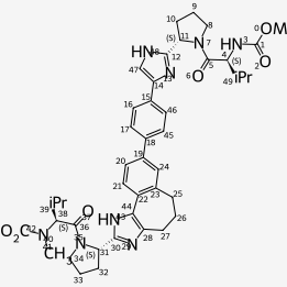 COC(=O)N[C@H](C(=O)N1CCC[C@H]1c1nc(-c2ccc(-c3ccc4c(c3)CCCc3nc([C@@H]5CCCN5C(=O)[C@H](C(C)C)N(C)C(=O)O)[nH]c3-4)cc2)c[nH]1)C(C)C